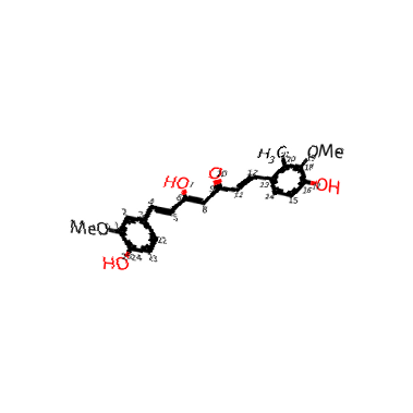 COc1cc(/C=C/C(O)=C/C(=O)/C=C/c2ccc(O)c(OC)c2C)ccc1O